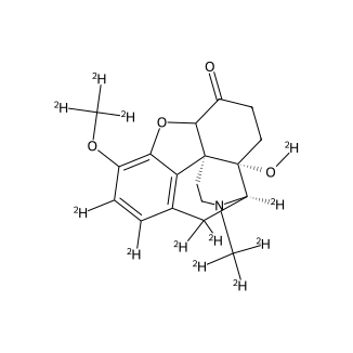 [2H]O[C@@]12CCC(=O)C3Oc4c(OC([2H])([2H])[2H])c([2H])c([2H])c5c4[C@@]31CCN(C([2H])([2H])[2H])[C@]2([2H])C5([2H])[2H]